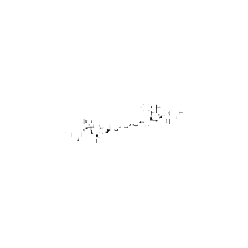 O=C(O)CC(O)(CC(=O)OCCCCCCCCOC(=O)CC(O)(CC(=O)O)C(=O)O)C(=O)O